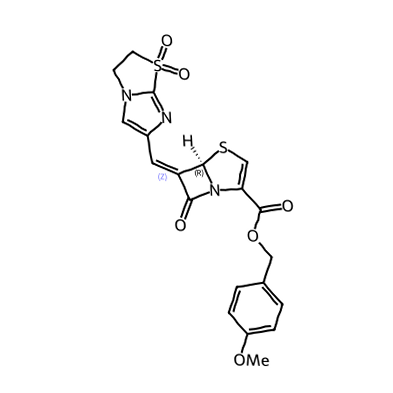 COc1ccc(COC(=O)C2=CS[C@@H]3/C(=C\c4cn5c(n4)S(=O)(=O)CC5)C(=O)N23)cc1